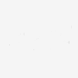 CC(O)Sc1ccc(SC(C)O)[se]1